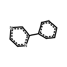 [c]1cccc(-c2cnccn2)c1